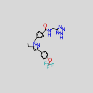 CCc1cc(-c2ccc(OC(F)(F)F)cc2)nn1Cc1ccc(C(=O)NCc2nn[nH]n2)cc1